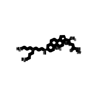 CC(C)NC(=O)CC[C@@H](C)[C@H]1CCC2C3CCC4C[C@@H](NCCCN(CCCN)CCCN)CC[C@]4(C)C3CC[C@@]21C